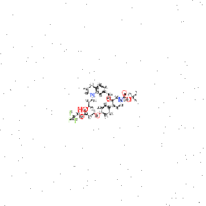 CC(C)(C)OC(=O)N1CC[C@H](c2ccc(OCCCOCC(F)(F)F)cc2)[C@@H](OCc2ccc3c(c2)N(CCCO)CCC3)C1